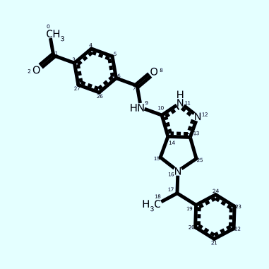 CC(=O)c1ccc(C(=O)Nc2[nH]nc3c2CN(C(C)c2ccccc2)C3)cc1